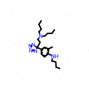 CCCCNc1ccc(C2(CCN(CCCC)CCCC)N=NN=N2)cc1C